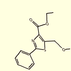 CCOC(=O)c1nc(-c2ccccc2)sc1COC